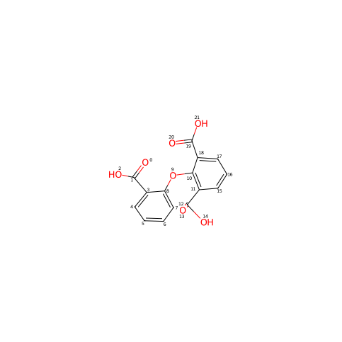 O=C(O)c1ccccc1Oc1c(C(=O)O)cccc1C(=O)O